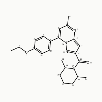 CCOc1ccc(-c2cc(C)nc3cc(C(=O)N4C(C)CCCC4C)nn23)cc1